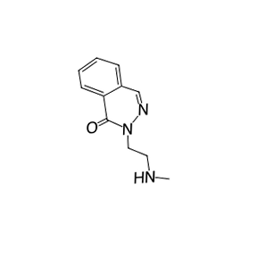 CNCCn1ncc2ccccc2c1=O